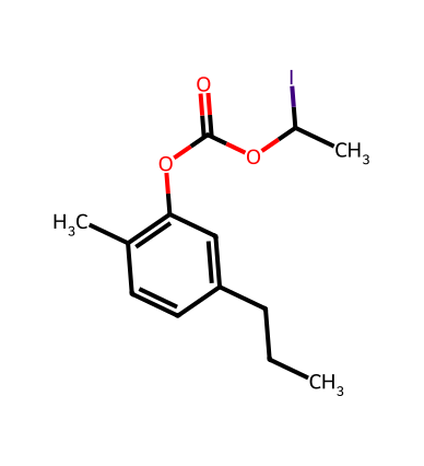 CCCc1ccc(C)c(OC(=O)OC(C)I)c1